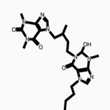 CCCCn1cnc2c1C(=O)N(CCC(C)Cn1cnc3c1c(=O)n(C)c(=O)n3C)C(O)N2C